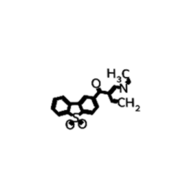 C=C/C(=C\N=C/C)C(=O)c1ccc2c(c1)-c1ccccc1S2(=O)=O